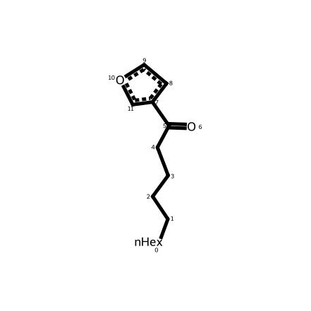 CCCCCCCCCCC(=O)c1ccoc1